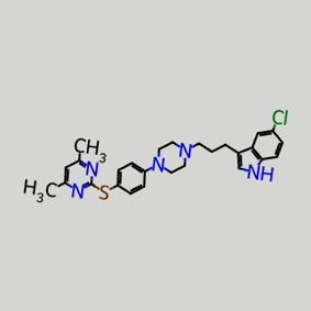 Cc1cc(C)nc(Sc2ccc(N3CCN(CCCc4c[nH]c5ccc(Cl)cc45)CC3)cc2)n1